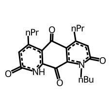 CCCCn1c2c(c(CCC)cc1=O)C(=O)c1c(CCC)cc(=O)[nH]c1C2=O